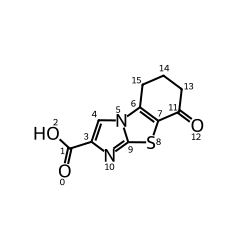 O=C(O)c1cn2c3c(sc2n1)C(=O)CCC3